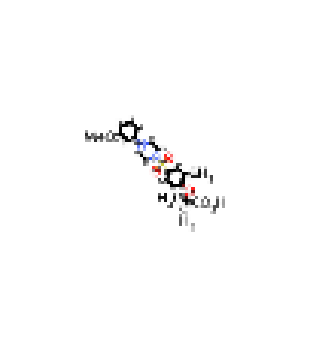 COc1cccc(N2CCN(S(=O)(=O)c3ccc(OC(C)(C)C(=O)O)c(C)c3)CC2)c1